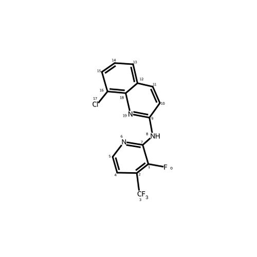 Fc1c(C(F)(F)F)ccnc1Nc1ccc2cccc(Cl)c2n1